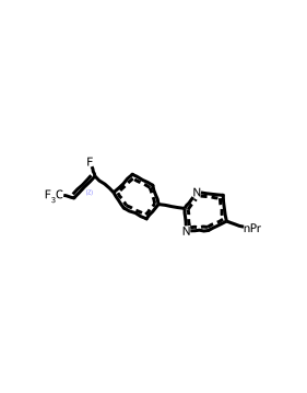 CCCc1cnc(-c2ccc(/C(F)=C/C(F)(F)F)cc2)nc1